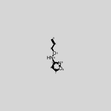 C=CCONc1ccon1